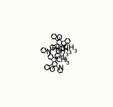 CC1(C)c2cc(N(c3ccccc3)c3ccc4c(c3)C(C)(C)c3c5c(c6oc7ccccc7c6c3-4)-c3ccccc3C5(C)C)ccc2-c2c1cc(-c1ccccn1)c1oc3ccccc3c21